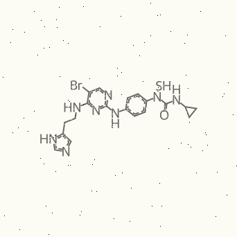 O=C(NC1CC1)N(S)c1ccc(Nc2ncc(Br)c(NCCc3cnc[nH]3)n2)cc1